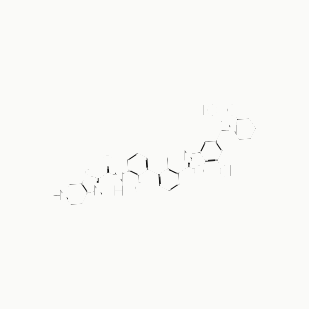 Cc1c(-c2nc3cc(CN4CCCCC4C(=O)O)cc(Cl)c3o2)cccc1-c1cccc(NC(=O)c2nc3c(s2)CN(C)CC3)c1Cl